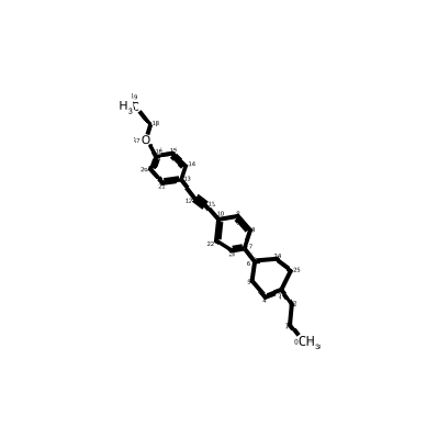 CCCC1CCC(c2ccc(C#Cc3ccc(OCC)cc3)cc2)CC1